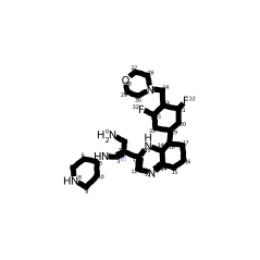 NC/C(=C\NC1CCNCC1)C1=CN=C2CCCC(C3CC(F)C(CN4CCOCC4)C(F)C3)C2N1